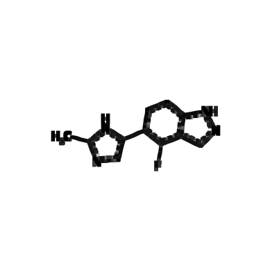 Cc1ncc(-c2ccc3[nH]ncc3c2F)[nH]1